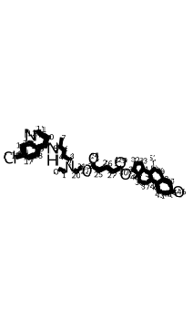 CCN(CCCC(C)Nc1ccnc2cc(Cl)ccc12)CCOC(=O)CCCC(=O)O[C@H]1CCC2C3C(CC[C@@]21C)[C@@]1(C)CCC(=O)C=C1C[C@H]3C